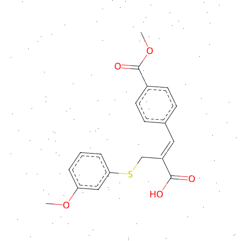 COC(=O)c1ccc(C=C(CSc2cccc(OC)c2)C(=O)O)cc1